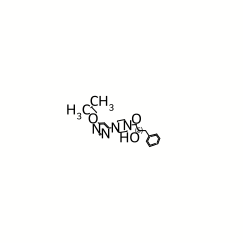 CC(C)COc1cc(N2CCN(C(=O)[C@@H](O)Cc3ccccc3)CC2)ncn1